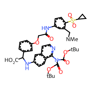 CNCc1cc(NC(=O)COc2cccc(C(Nc3ccc4c(N(C(=O)OC(C)(C)C)C(=O)OC(C)(C)C)nccc4c3)C(=O)O)c2)ccc1S(=O)(=O)C1CC1